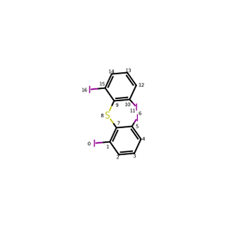 Ic1cccc(I)c1Sc1c(I)cccc1I